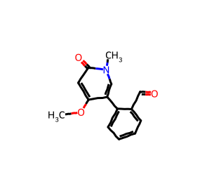 COc1cc(=O)n(C)cc1-c1ccccc1C=O